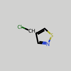 CCl.c1cnsc1